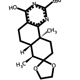 C[C@H]1[C@@H]2CCc3c(O)nc(C(C)(C)C)nc3[C@@]2(C)CCC12OCCO2